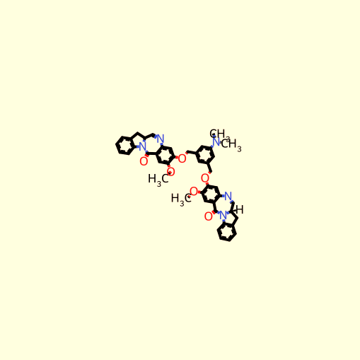 COc1cc2c(cc1OCc1cc(COc3cc4c(cc3OC)C(=O)N3c5ccccc5C[C@H]3C=N4)cc(N(C)C)c1)N=CC1Cc3ccccc3N1C2=O